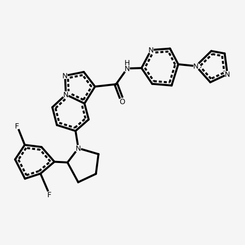 O=C(Nc1ccc(-n2ccnc2)cn1)c1cnn2ccc(N3CCCC3c3cc(F)ccc3F)cc12